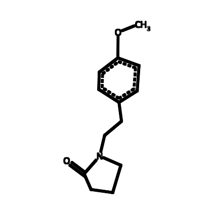 COc1ccc(CCN2CCCC2=O)cc1